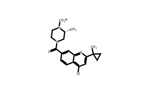 C[C@@H]1CN(C(=O)c2ccc3c(Cl)cc(C4(C)CC4)nc3c2)CCN1C(=O)O